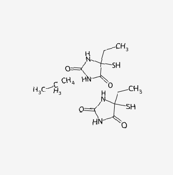 C.CC.CCC1(S)NC(=O)NC1=O.CCC1(S)NC(=O)NC1=O